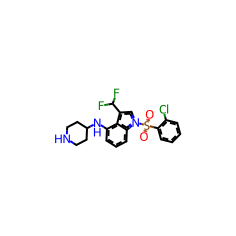 O=S(=O)(c1ccccc1Cl)n1cc(C(F)F)c2c(NC3CCNCC3)cccc21